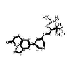 C[SiH](C)OC(COc1cncc(-c2cc3c4c(c2)CCN4C(=O)CC3)c1)C(C)(C)C